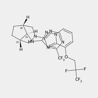 FC(F)(F)c1cc(N2C[C@H]3CC[C@@H](C2)[C@@H]3Nc2nc3c(OCC(F)(F)C(F)(F)F)cccn3n2)ncn1